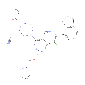 C=CC(=O)N1CCN(c2nc(OC[C@@H]3CCCN3C)nc3c(F)c(-c4cccc5c4CCC5)ncc23)C[C@@H]1CC#N